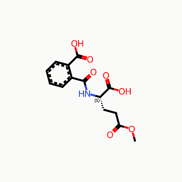 COC(=O)CC[C@H](NC(=O)c1ccccc1C(=O)O)C(=O)O